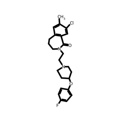 Cc1cc2c(cc1Cl)C(=O)N(CCN1CCC(Oc3ccc(F)cc3)CC1)CCC2